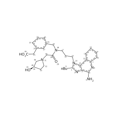 CCCCc1nc2c(N)nc3ccccc3c2n1CCCN(Cc1cccc(CC(=O)O)c1)C(=O)CN1CC[C@@H](O)C1